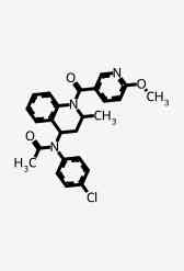 COc1ccc(C(=O)N2c3ccccc3C(N(C(C)=O)c3ccc(Cl)cc3)CC2C)cn1